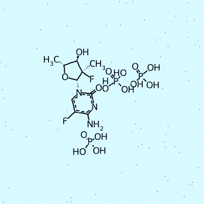 C[C@H]1O[C@@H](n2cc(F)c(N)nc2=O)[C@](C)(F)[C@@H]1O.O=P(O)(O)O.O=P(O)(O)O.O=P(O)(O)O